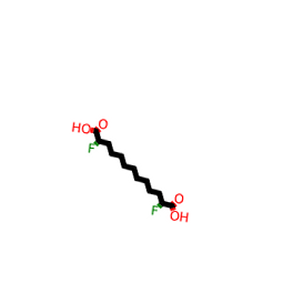 O=C(O)C(F)CCCCCCCCCC(F)C(=O)O